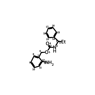 CCC(NC(=O)OCc1ccccc1N)c1ccccc1